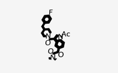 CC(=O)n1cc(C(=O)N2CCC(Cc3ccc(F)cc3)CC2)c2cc(C(=O)C(=O)N(C)C)ccc21